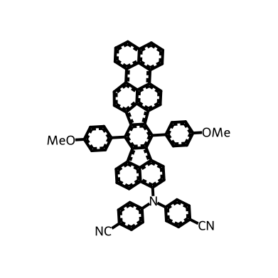 COc1ccc(-c2c3c4cccc5c(N(c6ccc(C#N)cc6)c6ccc(C#N)cc6)ccc(c3c(-c3ccc(OC)cc3)c3c6ccc7c8cccc9cccc(c%10ccc(c23)c6c%107)c98)c54)cc1